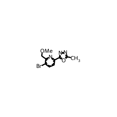 COCc1nc(-c2nnc(C)o2)ccc1Br